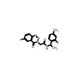 Cc1ccc(C(C)NC(=O)Cn2nnc3ccc(F)cc3c2=O)c(F)c1